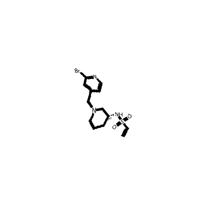 C=CS(=O)(=O)N[C@@H]1CCCN(Cc2ccnc(Br)c2)C1